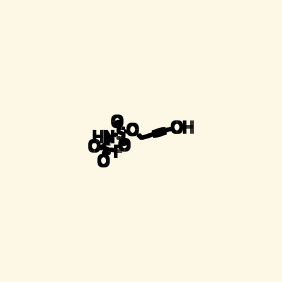 O=S(=O)(F)NS(=O)(=O)OCC#CO